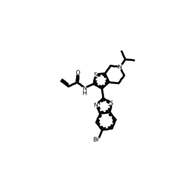 C=CC(=O)Nc1sc2c(c1-c1nc3cc(Br)ccc3s1)CCN(C(C)C)C2